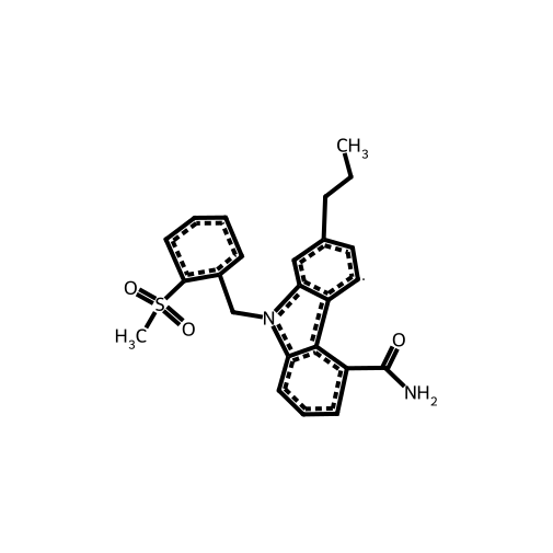 CCCc1c[c]c2c3c(C(N)=O)cccc3n(Cc3ccccc3S(C)(=O)=O)c2c1